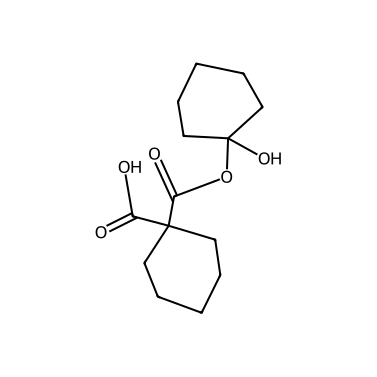 O=C(O)C1(C(=O)OC2(O)CCCCC2)CCCCC1